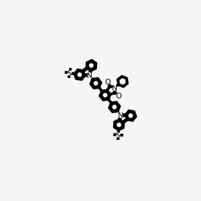 CS(C)(C)c1ccc2c(c1)c1ccccc1n2-c1ccc(-c2ccc(-c3ccc(-n4c5ccccc5c5cc(S(C)(C)C)ccc54)cc3)c3c2C(=O)N(C2CCCCC2)C3=O)cc1